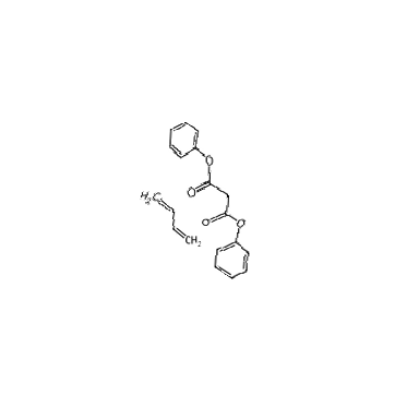 C=CC=C.O=C(CC(=O)Oc1ccccc1)Oc1ccccc1